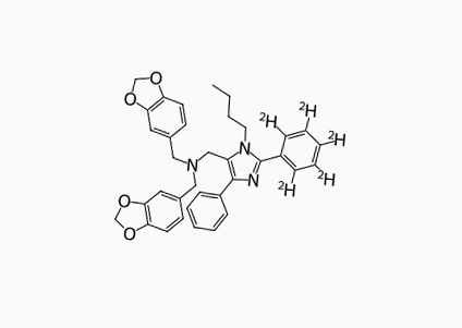 [2H]c1c([2H])c([2H])c(-c2nc(-c3ccccc3)c(CN(Cc3ccc4c(c3)OCO4)Cc3ccc4c(c3)OCO4)n2CCCC)c([2H])c1[2H]